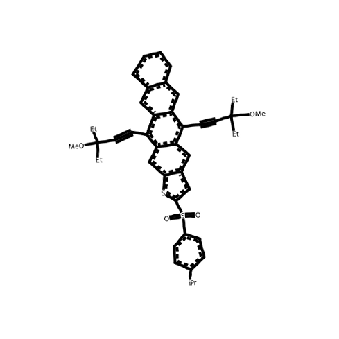 CCC(C#Cc1c2cc3ccccc3cc2c(C#CC(CC)(CC)OC)c2cc3sc(S(=O)(=O)c4ccc(C(C)C)cc4)cc3cc12)(CC)OC